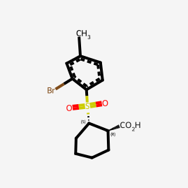 Cc1ccc(S(=O)(=O)[C@H]2CCCC[C@@H]2C(=O)O)c(Br)c1